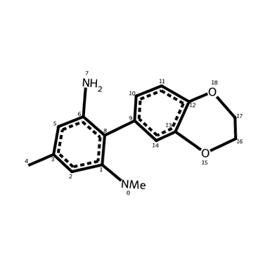 CNc1cc(C)cc(N)c1-c1ccc2c(c1)OCCO2